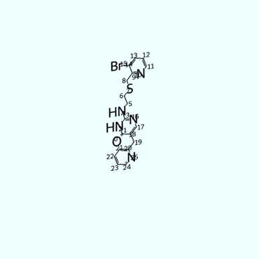 O=c1[nH]c(NCCSCc2ncccc2Br)ncc1Cc1ccccn1